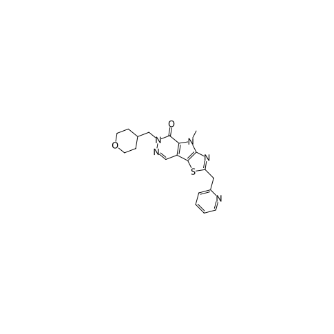 Cn1c2nc(Cc3ccccn3)sc2c2cnn(CC3CCOCC3)c(=O)c21